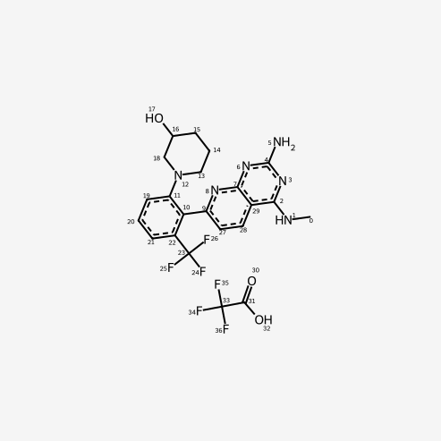 CNc1nc(N)nc2nc(-c3c(N4CCCC(O)C4)cccc3C(F)(F)F)ccc12.O=C(O)C(F)(F)F